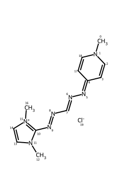 Cn1ccc(=NN=CN=Nc2n(C)cc[n+]2C)cc1.[Cl-]